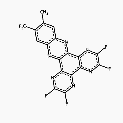 Cc1cc2nc3c4nc(F)c(F)nc4c4nc(F)c(F)nc4c3nc2cc1C(F)(F)F